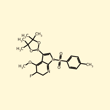 COC1=c2c(B3OC(C)(C)C(C)(C)O3)cn(S(=O)(=O)c3ccc(C)cc3)c2=NCC1F